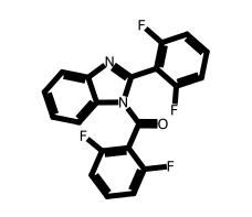 O=C(c1c(F)cccc1F)n1c(-c2c(F)cccc2F)nc2ccccc21